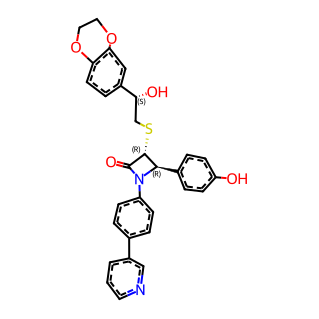 O=C1[C@H](SC[C@@H](O)c2ccc3c(c2)OCCO3)[C@@H](c2ccc(O)cc2)N1c1ccc(-c2cccnc2)cc1